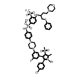 CCOP(=O)(Nc1ccc(N2CCN(c3cc(F)cc(-c4c(S(C)(=O)=O)c(C)n(C(C)C)c4-c4ccc(Cl)cc4)c3)CC2)cc1)c1ccc(NC(CCN2CCOCC2)CSc2ccccc2)c(S(=O)(=O)C(F)(F)F)c1